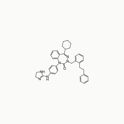 O=C1N(Cc2ccccc2CCc2ccccc2)N=C(C2CCCCC2)c2ccccc2N1c1ccc(NC2=NCCN2)cc1